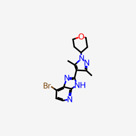 Cc1nn(C2CCOCC2)c(C)c1-c1nc2c(Br)ccnc2[nH]1